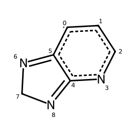 [c]1ccnc2c1=NCN=2